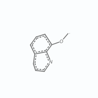 [CH2]Oc1cccc2cccnc12